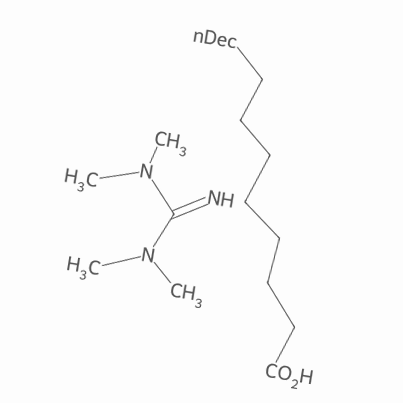 CCCCCCCCCCCCCCCCCC(=O)O.CN(C)C(=N)N(C)C